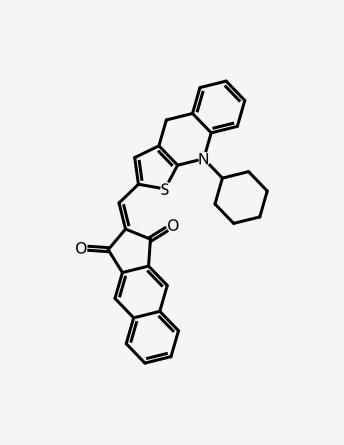 O=C1C(=Cc2cc3c(s2)N(C2CCCCC2)c2ccccc2C3)C(=O)c2cc3ccccc3cc21